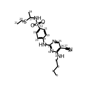 CCCCNc1nc(Nc2ccc(S(=O)(=O)NC(C)SCC)cc2)ncc1C#N